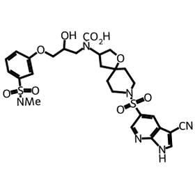 CNS(=O)(=O)c1cccc(OCC(O)CN(C(=O)O)C2COC3(CCN(S(=O)(=O)c4cnc5[nH]cc(C#N)c5c4)CC3)C2)c1